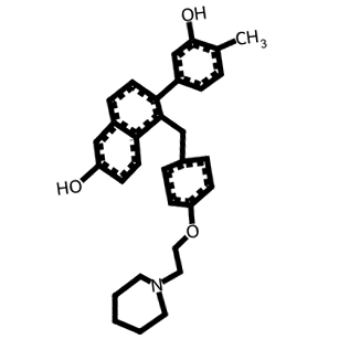 Cc1ccc(-c2ccc3cc(O)ccc3c2Cc2ccc(OCCN3CCCCC3)cc2)cc1O